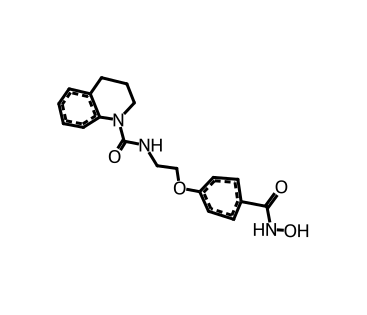 O=C(NO)c1ccc(OCCNC(=O)N2CCCc3ccccc32)cc1